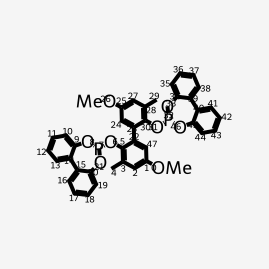 COc1cc(C)c(Op2oc3ccccc3c3ccccc3o2)c(-c2cc(OC)cc(C)c2Op2oc3ccccc3c3ccccc3o2)c1